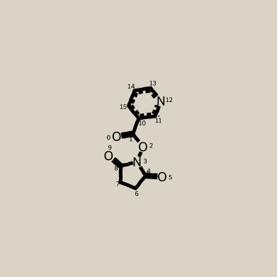 O=C(ON1C(=O)CCC1=O)c1[c]nccc1